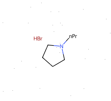 Br.CCCN1CCCC1